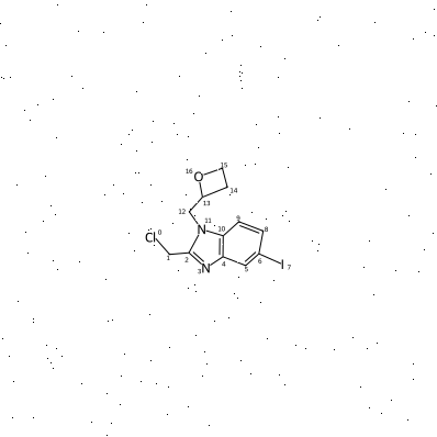 ClCc1nc2cc(I)ccc2n1CC1CCO1